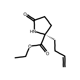 C=CCC[C@@]1(C(=O)OCC)CCC(=O)N1